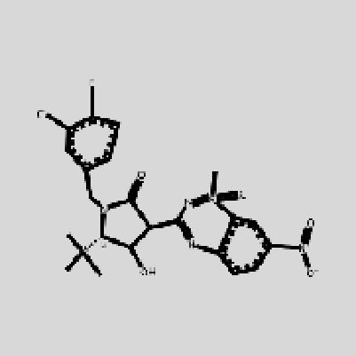 CC(C)(C)[C@H]1C(O)C(C2=Nc3ccc([N+](=O)[O-])cc3S(C)(=O)=N2)C(=O)N1Cc1ccc(F)c(Cl)c1